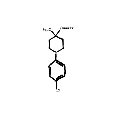 COC1(OC(C)C)CCN(c2ccc(C#N)cc2)CC1